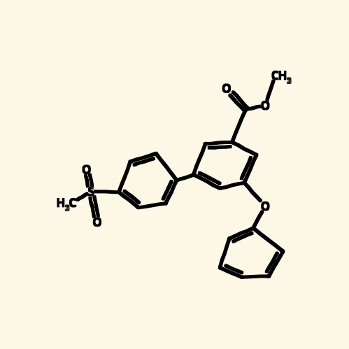 COC(=O)c1cc(Oc2ccccc2)cc(-c2ccc(S(C)(=O)=O)cc2)c1